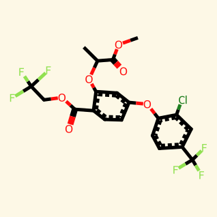 COC(=O)C(C)Oc1cc(Oc2ccc(C(F)(F)F)cc2Cl)ccc1C(=O)OCC(F)(F)F